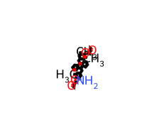 Cc1cc(Cc2c3ccccc3c(Cc3cc(C)c(OCC4CO4)c(N)c3)c3ccccc23)cc(C)c1OCC1CO1